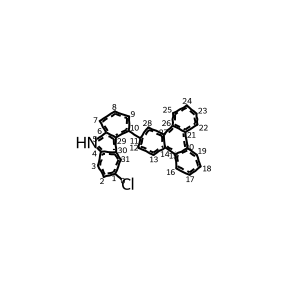 Clc1ccc2[nH]c3cccc(-c4ccc5c6ccccc6c6ccccc6c5c4)c3c2c1